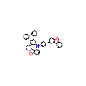 C1=Cc2c(oc3cccc(N(c4ccc(-c5ccc6oc7ccccc7c6c5)cc4)c4cccc(-c5ccccc5-c5ccccc5)c4)c23)CC1